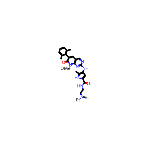 CCN(CC)CCNC(=O)c1cc(Nc2ncc3cc(-c4c(C)cccc4C)c(=O)n(OC)c3n2)c(C)[nH]1